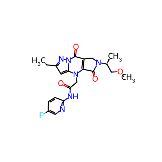 CCc1cc2n(CC(=O)Nc3ccc(F)cn3)c3c(c(=O)n2n1)CN([C@@H](C)COC)C3=O